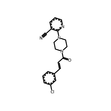 N#Cc1cccnc1N1CCN(C(=O)C=Cc2cccc(Cl)c2)CC1